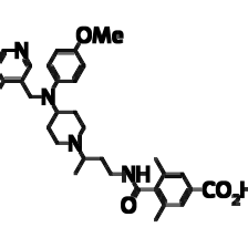 COc1ccc(N(Cc2cnccc2C)C2CCN(C(C)CCNC(=O)c3c(C)cc(C(=O)O)cc3C)CC2)cc1